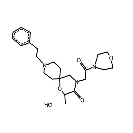 CC1OC2(CCN(CCc3ccccc3)CC2)CN(CC(=O)N2CCOCC2)C1=O.Cl